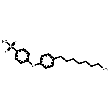 CCCCCCCCc1ccc(Oc2ccc(S(=O)(=O)O)cc2)cc1